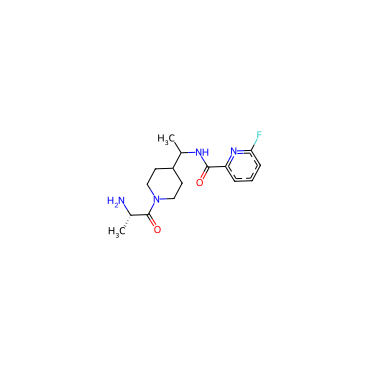 CC(NC(=O)c1cccc(F)n1)C1CCN(C(=O)[C@H](C)N)CC1